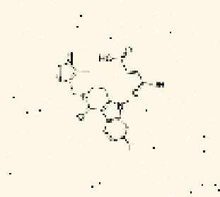 Cc1[nH]cnc1CN1CCc2c(c3ccc(F)cc3n2C)C1=O.O=C(O)C=CC(=O)O